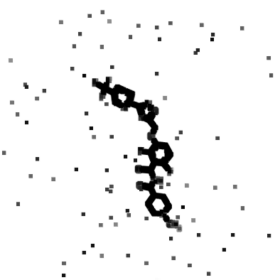 CN1CCC(C(=O)NC(=O)c2c(F)ccc(OCc3nc(-c4ccc(C(F)(F)F)cn4)no3)c2F)CC1